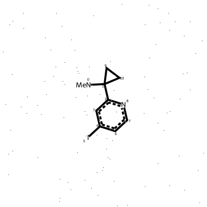 CNC1(c2cc(I)ccn2)CC1